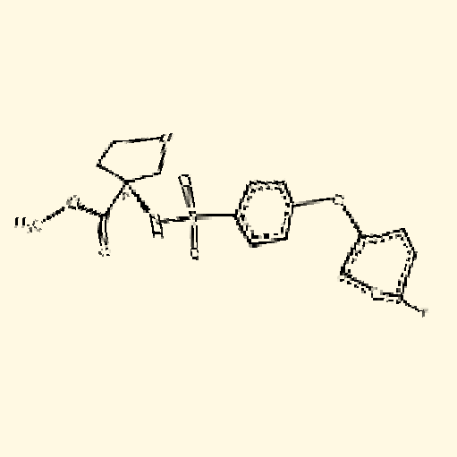 COC(=O)[C@]1(NS(=O)(=O)c2ccc(Oc3ccc(F)cc3)cc2)CCOC1